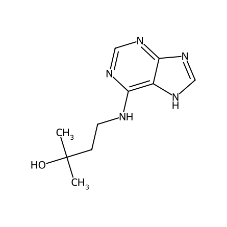 CC(C)(O)CCNc1ncnc2nc[nH]c12